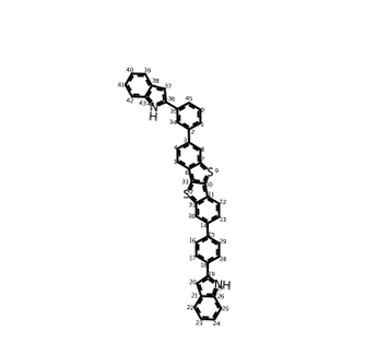 c1cc(-c2ccc3c(c2)sc2c4ccc(-c5ccc(-c6cc7ccccc7[nH]6)cc5)cc4sc32)cc(-c2cc3ccccc3[nH]2)c1